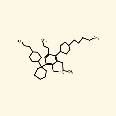 CCCCCC1CCC(c2c(CCC)cc(C3(C4CCC(CCC)CC4)CCCCC3)c(OC)c2CCC)CC1